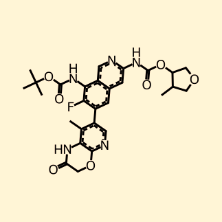 Cc1c(-c2cc3cc(NC(=O)OC4COCC4C)ncc3c(NC(=O)OC(C)(C)C)c2F)cnc2c1NC(=O)CO2